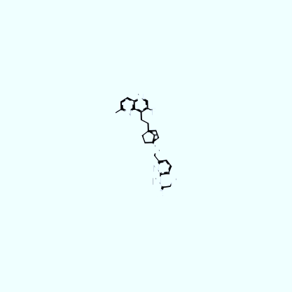 Cc1ccc2ncc(F)c(CCC34CCC(NCc5ccc6c(n5)NC(=O)CO6)(CC3)C4)c2n1